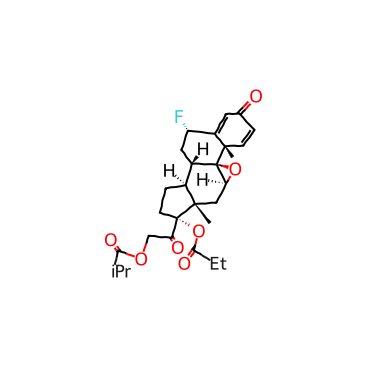 CCC(=O)O[C@]1(C(=O)COC(=O)C(C)C)CC[C@H]2[C@@H]3C[C@H](F)C4=CC(=O)C=C[C@]4(C)[C@@]34O[C@H]4C[C@@]21C